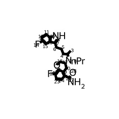 CCCN(C(C)CCCc1c[nH]c2ccc(F)cc12)C1COc2c(F)ccc(C(N)=O)c2C1